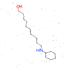 OCCCCCCCCCCNC1CCCCC1